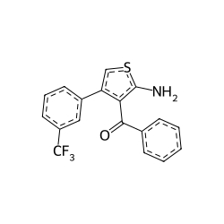 Nc1scc(-c2cccc(C(F)(F)F)c2)c1C(=O)c1ccccc1